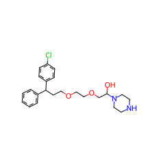 OC(COCCOCCC(c1ccccc1)c1ccc(Cl)cc1)N1CCNCC1